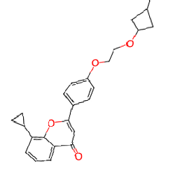 O=c1cc(-c2ccc(OCCOC3CC(CO)C3)cc2)oc2c(C3CC3)cccc12